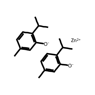 Cc1ccc(C(C)C)c([O-])c1.Cc1ccc(C(C)C)c([O-])c1.[Zn+2]